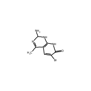 CC1=NC(N)Nc2[nH]c(=O)c(Br)cc21